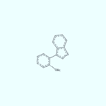 CC(=O)Oc1ccccc1-c1csc2ccccc12